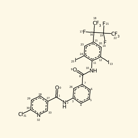 O=C(Nc1cccc(C(=O)Nc2c(I)cc(C(F)(C(F)(F)F)C(F)(F)C(F)(F)F)cc2I)c1)c1ccc(Cl)nc1